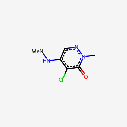 CNNc1cnn(C)c(=O)c1Cl